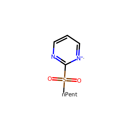 CCCCCS(=O)(=O)C1=NC=CC=[N+]1